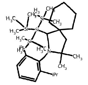 CC(C)c1cccc(C(C)C)c1N1C([Si]([Si](C)(C)C)([Si](C)(C)C)[Si](C)(C)C)C2(CCCCC2)CC1(C)C